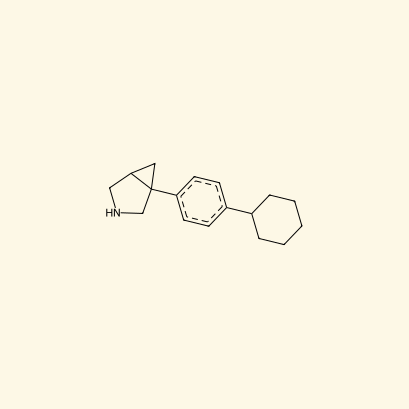 c1cc(C23CNCC2C3)ccc1C1CCCCC1